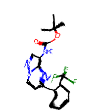 CC(C)(C)OC(=O)Nc1cnn2ccc(-c3ccccc3C(F)(F)F)nc12